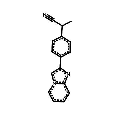 CC(C#N)c1ccc(-c2cn3ccccc3n2)cc1